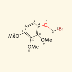 COc1ccc(OCBr)c(OC)c1OC